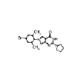 Cc1cc(Br)cc(C)c1-n1cc2c(=O)[nH]c(N3CCCC3)nc2n1